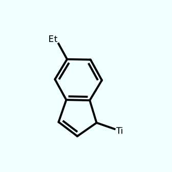 CCc1ccc2c(c1)C=C[CH]2[Ti]